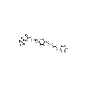 O=C(CCNCc1ccc(OCCCCCc2ccccc2)cc1)OC(=O)C(F)(F)F